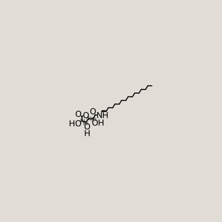 CCCCCCCCCCCCCCC=CNC(=O)[C@H](O)[C@H]1OC(=O)[C@@H](O)[C@H]1O